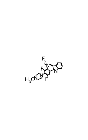 CN1CCN(c2c(F)cc3c4nc5ccccc5c-4cn(CCF)c3c2F)CC1